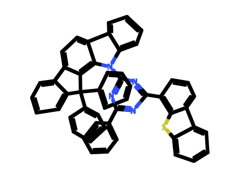 c1ccc(-c2nc(-c3cccc4c3sc3ccccc34)nc(-n3c4ccccc4c4ccc5c(c43)C(c3ccccc3)(c3ccccc3)c3ccccc3-5)n2)cc1